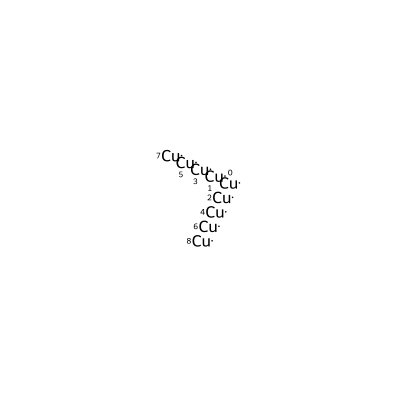 [Cu].[Cu].[Cu].[Cu].[Cu].[Cu].[Cu].[Cu].[Cu]